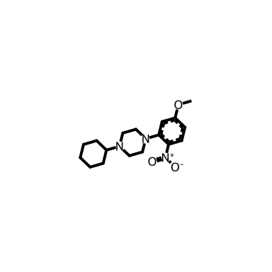 COc1ccc([N+](=O)[O-])c(N2CCN(C3CCCCC3)CC2)c1